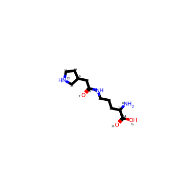 NC(CCCNC(=O)CC1CCNC1)C(=O)O